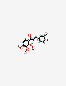 COc1ccc(C(=O)C=Cc2cccc(C)c2)c(OC)c1OC